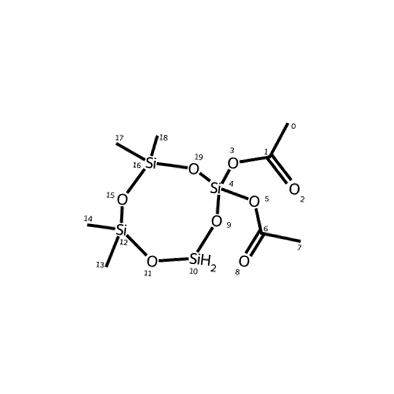 CC(=O)O[Si]1(OC(C)=O)O[SiH2]O[Si](C)(C)O[Si](C)(C)O1